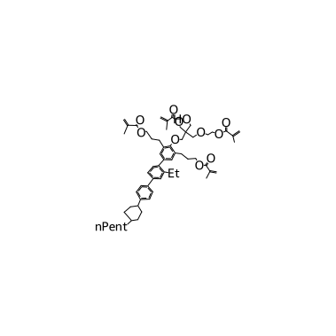 C=C(C)C(=O)OCCCc1cc(-c2ccc(-c3ccc(C4CCC(CCCCC)CC4)cc3)cc2CC)cc(CCCOC(=O)C(=C)C)c1OCC(CO)(COCCOC(=O)C(=C)C)COC(=O)C(=C)C